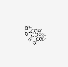 O=C([O-])[O-].O=C([O-])[O-].O=C([O-])[O-].[B+3].[B+3]